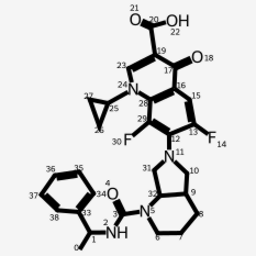 CC(NC(=O)N1CCCC2CN(c3c(F)cc4c(=O)c(C(=O)O)cn(C5CC5)c4c3F)CC21)c1ccccc1